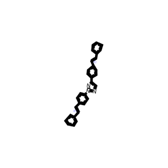 C(=C\c1ccc(-c2cnn(-c3ccc(/C=C/c4ccccc4)cc3)n2)cc1)/c1ccccc1